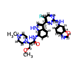 COC[C@H](C(=O)Nc1cccc2c(-c3nc(Nc4ccc5ncoc5c4)ncc3F)c[nH]c12)N1CCN(C)CC1